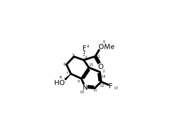 COC(=O)[C@]1(F)CC[C@H](O)c2ncc(F)cc21